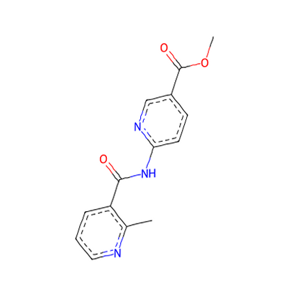 COC(=O)c1ccc(NC(=O)c2cccnc2C)nc1